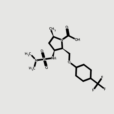 C[C@@H]1C[C@H](NS(=O)(=O)N(C)C)[C@H](COC2CCC(C(F)(F)F)CC2)N1C(=O)O